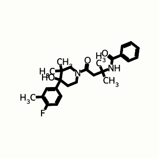 Cc1cc(C2(O)CCN(C(=O)CC(C)(C)NC(=O)c3ccccc3)CC2(C)C)ccc1F